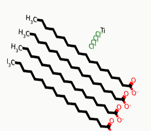 CCCCCCCCCCCCCCCCCC(=O)[O-].CCCCCCCCCCCCCCCCCC(=O)[O-].CCCCCCCCCCCCCCCCCC(=O)[O-].CCCCCCCCCCCCCCCCCC(=O)[O-].[Cl-].[Cl-].[Cl-].[Cl-].[Ti]